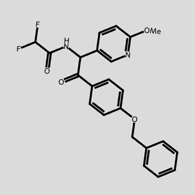 COc1ccc(C(NC(=O)C(F)F)C(=O)c2ccc(OCc3ccccc3)cc2)cn1